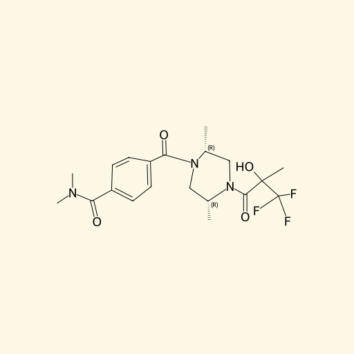 C[C@@H]1CN(C(=O)C(C)(O)C(F)(F)F)[C@H](C)CN1C(=O)c1ccc(C(=O)N(C)C)cc1